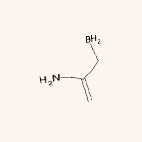 BCC(=C)N